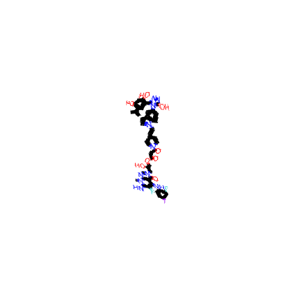 CC(C)c1cc(-c2nnc(O)n2-c2ccc3c(ccn3CCC3CCN(C(=O)CC(=O)OC[C@H](O)Cn4cnc5c(c(Nc6ccc(I)cc6F)c(F)c(=N)n5C)c4=O)CC3)c2)c(O)cc1O